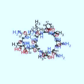 CC(C)CCCCC(=O)N[C@@H](CCN)C(=O)N[C@H](C(=O)NC(CO)C(=O)N[C@H]1CCNC(=O)[C@H]([C@@H](C)O)NC(=O)[C@H](CCN)NC(=O)[C@H](CCN)NC(=O)[C@H]([C@@H](C)O)NC(=O)[C@@H](Cc2ccccc2)NC(=O)[C@H](CCN)NC1=O)[C@@H](C)O